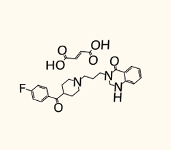 O=C(O)C=CC(=O)O.O=C(c1ccc(F)cc1)C1CCN(CCCN2CNc3ccccc3C2=O)CC1